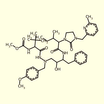 CCC(C)C(C(=O)NC(Cc1ccccc1)C(O)CN(Cc1ccc(OC)cc1)NC(=O)C(NC(=O)OC)C(C)(C)C)N1CCN(Cc2cccc(C)n2)C1=O